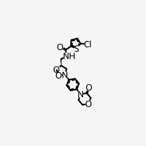 O=C(NC[C@H]1CN(c2ccc(N3CCOCC3=O)cc2)OO1)c1ccc(Cl)s1